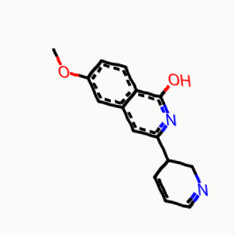 COc1ccc2c(O)nc(C3C=CC=NC3)cc2c1